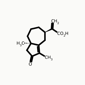 C=C(C(=O)O)[C@@H]1CCC[C@]2(C)CC(=O)C(C)=C2C1